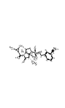 C[C@@H]1C(=O)N(C(=O)C2[C@@H](C)[C@H]2C)[C@H]2CCN(S(=O)(=O)NCc3cccc(C#N)c3)[C@H]12